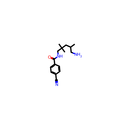 CC(CN)CC(C)(C)CNC(=O)c1ccc(C#N)cc1